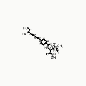 CC(C)(C(NC(=O)c1ccc(C#CC#CC(O)CO)cc1)C(=O)NO)S(C)(=O)=O